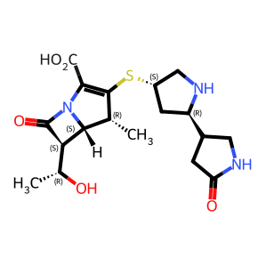 C[C@@H](O)[C@H]1C(=O)N2C(C(=O)O)=C(S[C@@H]3CN[C@@H](C4CNC(=O)C4)C3)[C@H](C)[C@H]12